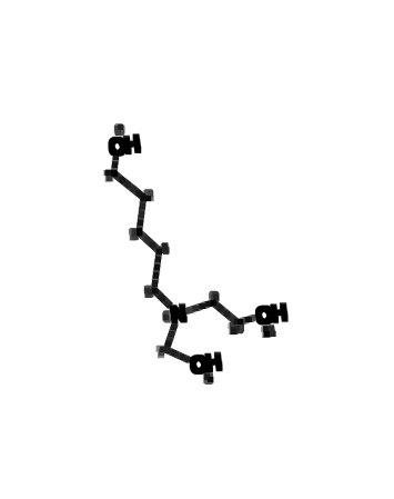 OCCCCCN(CO)CCO